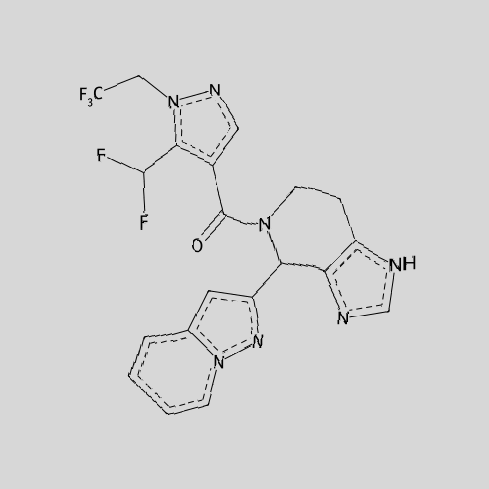 O=C(c1cnn(CC(F)(F)F)c1C(F)F)N1CCc2[nH]cnc2C1c1cc2ccccn2n1